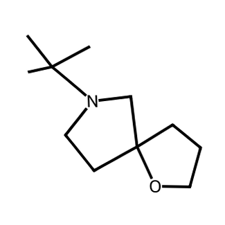 CC(C)(C)N1CCC2(CCCO2)C1